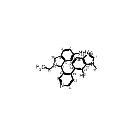 CC(=O)Nc1ccc2c(c1)C(c1cnccc1-c1ccc3ncn(C)c3c1F)N(CC(F)(F)F)C2